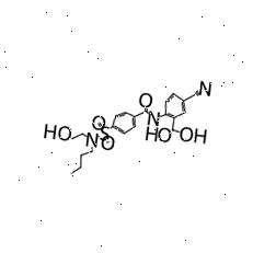 CCCCN(CCO)S(=O)(=O)c1ccc(C(=O)Nc2ccc(C#N)cc2C(=O)O)cc1